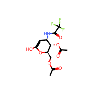 CC(=O)OC[C@H]1OC(O)=C[C@@H](NC(=O)C(F)(F)F)[C@@H]1OC(C)=O